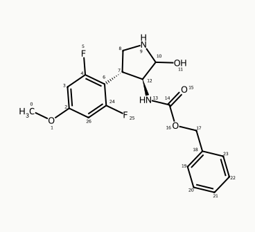 COc1cc(F)c([C@@H]2CNC(O)[C@H]2NC(=O)OCc2ccccc2)c(F)c1